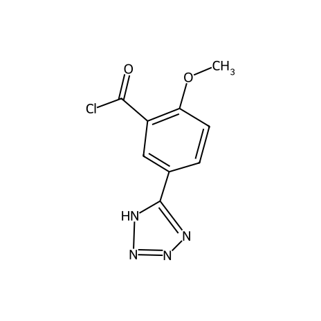 COc1ccc(-c2nnn[nH]2)cc1C(=O)Cl